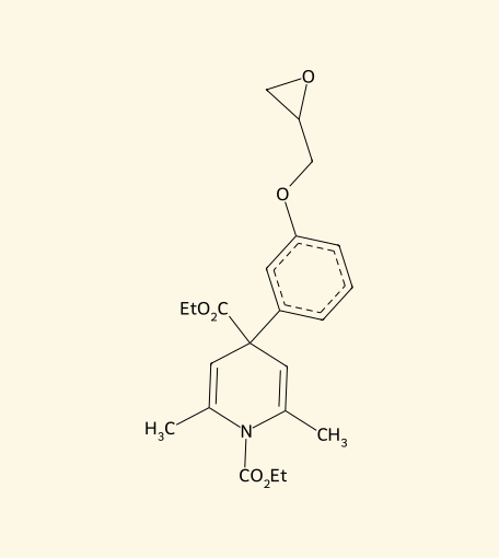 CCOC(=O)N1C(C)=CC(C(=O)OCC)(c2cccc(OCC3CO3)c2)C=C1C